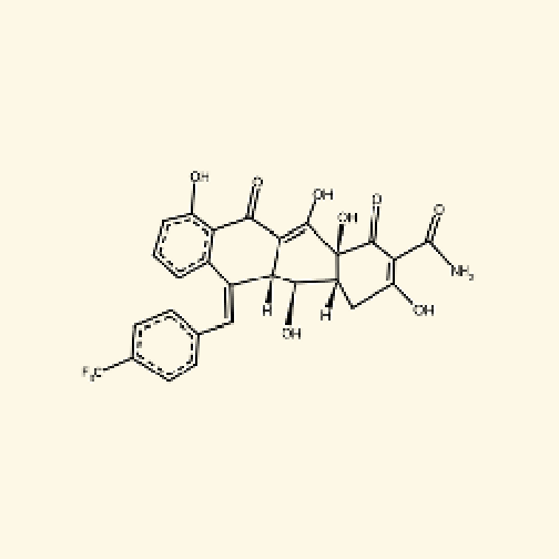 NC(=O)C1=C(O)C[C@@H]2[C@@H](O)[C@H]3C(=C(O)[C@]2(O)C1=O)C(=O)c1c(O)cccc1/C3=C\c1ccc(C(F)(F)F)cc1